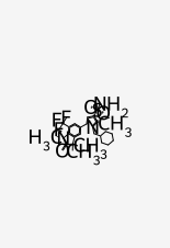 Cc1c(S(N)(=O)=O)cc(-c2cc(C(F)(F)F)c3c(c2)C(C)(C)C(=O)N3C)n1CC1CCCCC1